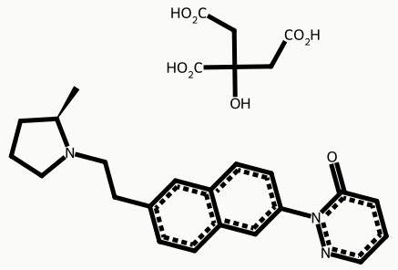 C[C@@H]1CCCN1CCc1ccc2cc(-n3ncccc3=O)ccc2c1.O=C(O)CC(O)(CC(=O)O)C(=O)O